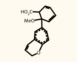 COC1(c2ccc3c(c2)C=CCO3)C=CC=CC1C(=O)O